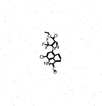 CCOC(=O)c1cnn(-c2cc(Cl)c3[nH]c(=C=O)c4cccc2c34)c1C(F)(F)F